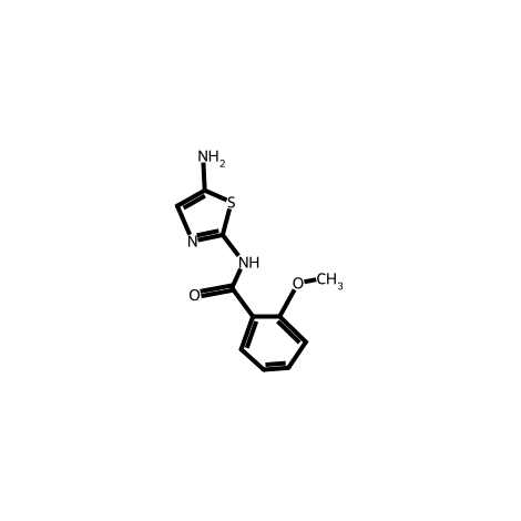 COc1ccccc1C(=O)Nc1ncc(N)s1